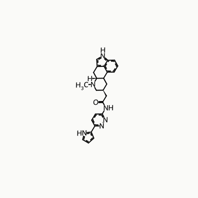 CN1C[C@H](CC(=O)Nc2ccc(-c3ccc[nH]3)nn2)CC2c3cccc4[nH]cc(c34)C[C@H]21